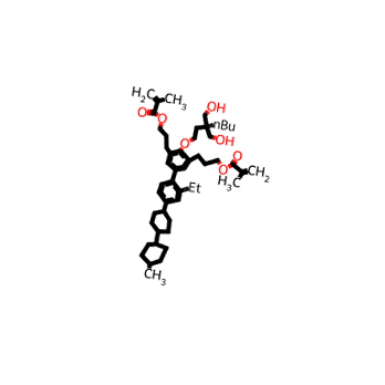 C=C(C)C(=O)OCCCc1cc(-c2ccc(C3CCC(C4CCC(C)CC4)CC3)cc2CC)cc(CCCOC(=O)C(=C)C)c1OCCC(CO)(CO)CCCC